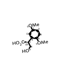 COc1ccc(OC)c([C@@H](CO)C(=O)O)c1